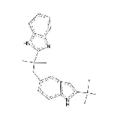 CC(C)(C)c1cc2cc(CC(C)(C)c3nc4ccccc4[nH]3)ccc2[nH]1